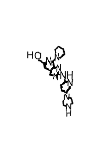 OCc1cc2cnc(Nc3ccc(N4CCNCC4)cn3)nc2c(N2CCCCC2)n1